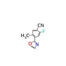 Cc1cc(C#N)c(F)cc1-c1ncco1